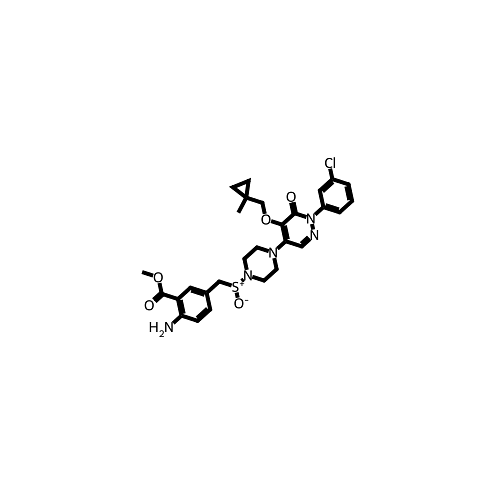 COC(=O)c1cc(C[S+]([O-])N2CCN(c3cnn(-c4cccc(Cl)c4)c(=O)c3OCC3(C)CC3)CC2)ccc1N